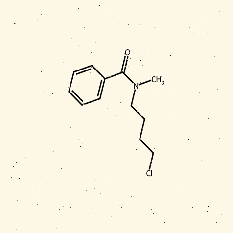 CN(CCCCCl)C(=O)c1ccccc1